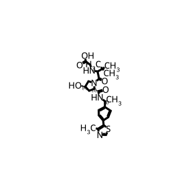 Cc1ncsc1-c1ccc([C@H](C)NC(=O)[C@@H]2C[C@@H](O)CN2C(=O)C(NCC(=O)O)C(C)(C)C)cc1